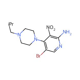 CC(C)CN1CCN(c2c(Br)cnc(N)c2[N+](=O)[O-])CC1